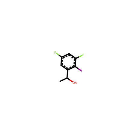 CC(O)c1cc(F)cc(F)c1I